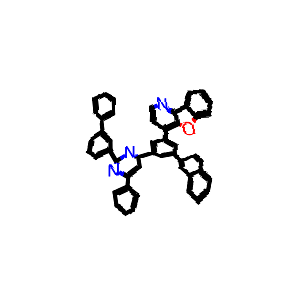 c1ccc(-c2cccc(-c3nc(-c4ccccc4)cc(-c4cc(-c5ccc6ccccc6c5)cc(-c5ccnc6c5oc5ccccc56)c4)n3)c2)cc1